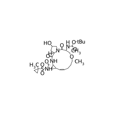 C[C@@H]1CC/C=C\C2C[C@@]2(C(=O)NS(=O)(=O)C2(C)CC2)NC(=O)[C@@H]2C[C@@H](O)CN2C(=O)[C@@H](NC(=O)OC(C)(C)C)[C@H](C)O1